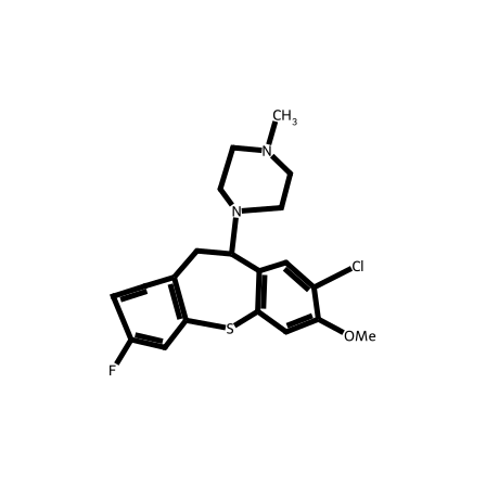 COc1cc2c(cc1Cl)C(N1CCN(C)CC1)Cc1ccc(F)cc1S2